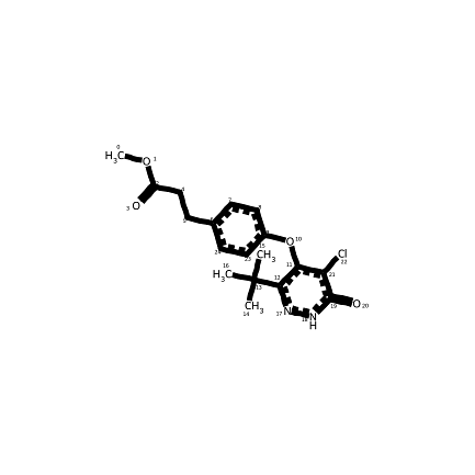 COC(=O)CCc1ccc(Oc2c(C(C)(C)C)n[nH]c(=O)c2Cl)cc1